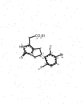 CCOC(=O)Cc1[nH]c(=S)n2c1C[C@H](c1c(F)ccc(Br)c1F)C2